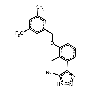 Cc1c(OCc2cc(C(F)(F)F)cc(C(F)(F)F)c2)cccc1-c1nn[nH]c1C#N